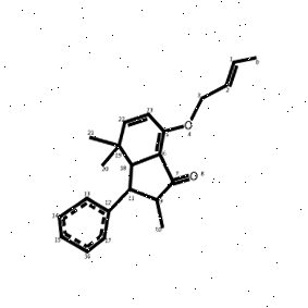 CC=CCOC1=C2C(=O)C(C)C(c3ccccc3)C2C(C)(C)C=C1